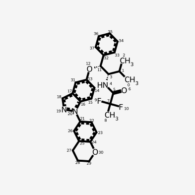 CC(C)[C@H](NC(=O)C(C)(F)F)[C@H](Oc1ccc2c(cnn2-c2ccc3c(c2)CCCO3)c1)c1ccccc1